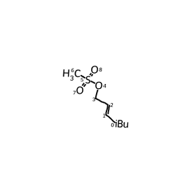 CCC(C)/C=C/COS(C)(=O)=O